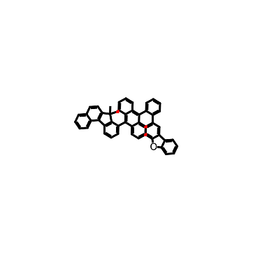 CC1(C)c2ccc3ccccc3c2-c2cccc(-c3c4ccccc4c(-c4ccccc4-c4ccc5oc6ccccc6c5c4)c4ccccc34)c21